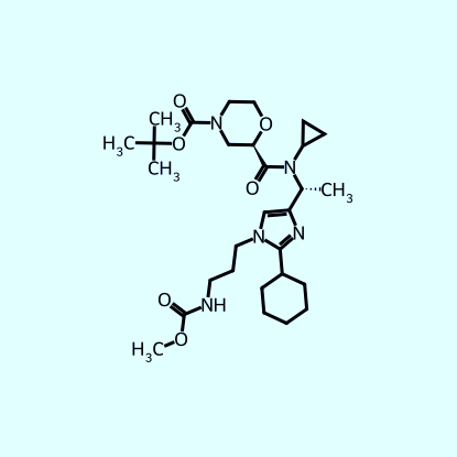 COC(=O)NCCCn1cc([C@@H](C)N(C(=O)[C@H]2CN(C(=O)OC(C)(C)C)CCO2)C2CC2)nc1C1CCCCC1